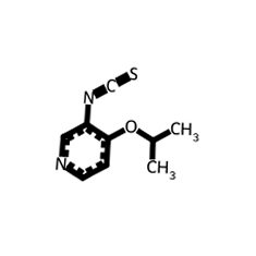 CC(C)Oc1ccncc1N=C=S